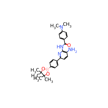 CN(C)c1ccc(C(=O)Nc2nc(-c3ccc(B4OC(C)(C)C(C)(C)O4)cc3)ccc2N)cc1